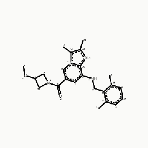 COC1CN(C(=O)c2cc(NCc3c(C)cccc3C)c3nc(C)c(C)n3c2)C1